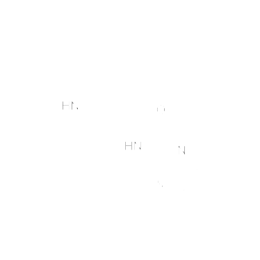 O=C(Nc1nccs1)C1CCCNC1